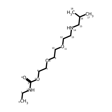 CCNC(=O)OCCOCCOCCNCC(C)C